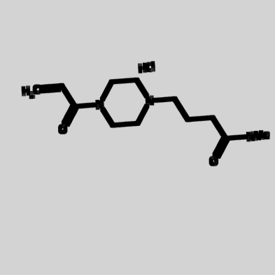 C=CC(=O)N1CCN(CCCC(=O)NC)CC1.Cl